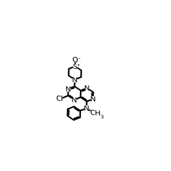 CN(c1ccccc1)c1ncnc2c(N3CC[S+]([O-])CC3)nc(Cl)nc12